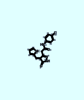 O=C(CC1=NNC(=O)/C1=C/c1ccc[nH]1)Nc1ccc(Cl)cc1